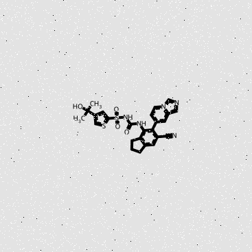 CC(C)(O)c1csc(S(=O)(=O)NC(=O)Nc2c3c(cc(C#N)c2-c2ccn4cncc4c2)CCC3)c1